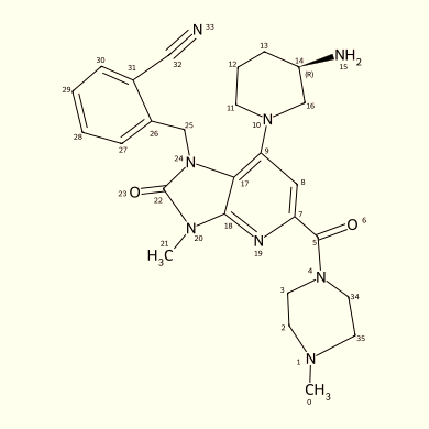 CN1CCN(C(=O)c2cc(N3CCC[C@@H](N)C3)c3c(n2)n(C)c(=O)n3Cc2ccccc2C#N)CC1